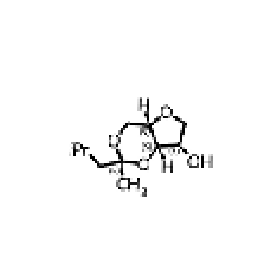 CC(C)C[C@]1(C)OC[C@@H]2OC[C@@H](O)[C@@H]2O1